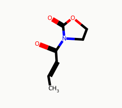 CC=CC(=O)N1CCOC1=O